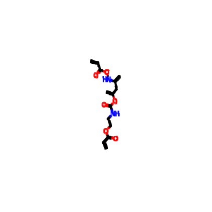 C=CC(=O)OCCNC(=O)OC(=C)CC(=C)NOC(=O)C=C